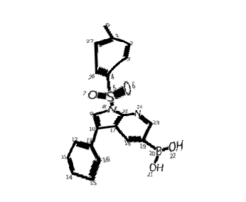 Cc1ccc(S(=O)(=O)n2cc(-c3ccccc3)c3cc(B(O)O)cnc32)cc1